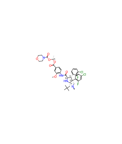 C=NC[C@]1(c2ccc(Cl)cc2F)[C@H](CC(C)(C)C)N[C@@H](C(=O)Nc2ccc(C(=O)O[C@@H](C)OC(=O)N3CCOCC3)cc2OC)[C@@H]1c1cccc(Cl)c1F